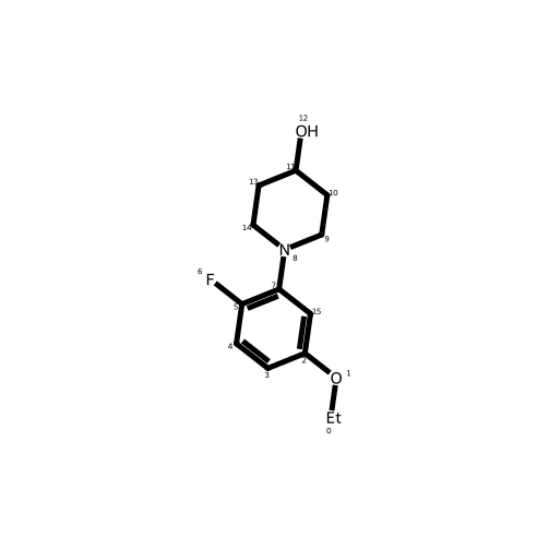 CCOc1ccc(F)c(N2CCC(O)CC2)c1